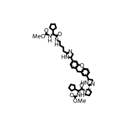 COC(=O)N[C@H](C(=O)NCCCCC1=NCC(c2ccc3c(c2)Oc2ccc(C4CN=C([C@@H]5CCCN5C(=O)[C@@H](NC(=O)OC)C5CCCC5)N4)cc2C3)N1)C1CCCC1